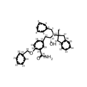 CC1(N(Cc2ccccc2)[C@H](O)Cc2ccc(OCc3ccccc3)c(C(N)=O)c2)Cc2ccccc2C1